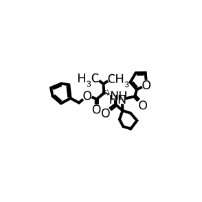 CC(C)[C@H](NC(=O)C1(NC(=O)c2ccco2)CCCCC1)C(=O)OCc1ccccc1